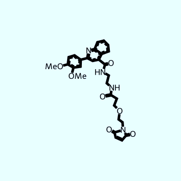 COc1ccc(-c2cc(C(=O)NCCNC(=O)CCOCCN3C(=O)C=CC3=O)c3ccccc3n2)cc1OC